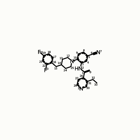 C=C(Nc1cc(C#N)ccc1N1CCC(Cc2ccc(F)cc2F)CC1)c1ccncc1CC